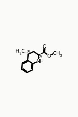 COC(=O)[C@@H]1C[C@@H](C)c2ccccc2N1